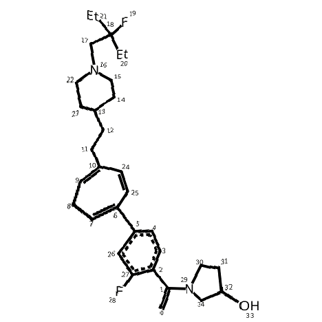 C=C(c1ccc(C2=CCC=C(CCC3CCN(CC(F)(CC)CC)CC3)C=C2)cc1F)N1CCC(O)C1